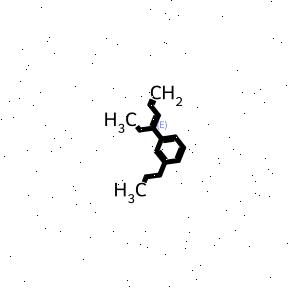 C=C/C=C(\CC)c1cccc(CCC)c1